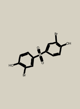 O=S(=O)(c1ccc(O)c(Br)c1)c1ccc(O)c(Br)c1